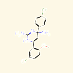 COc1ccc(Cl)cc1C1=CC(N)(c2ccc(Br)cc2)N=C(N)N1